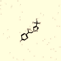 NC(Cn1cc(C(F)(F)F)cn1)c1ccc(F)cc1